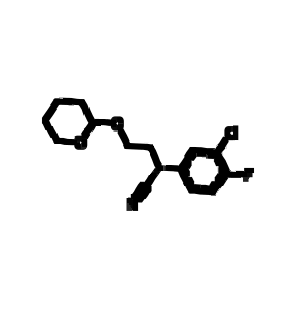 N#CC(CCOC1CCCCO1)c1ccc(F)c(Cl)c1